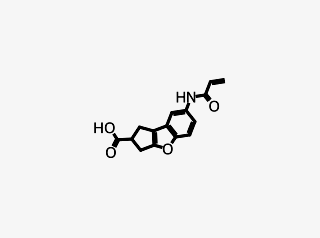 C=CC(=O)Nc1ccc2oc3c(c2c1)CC(C(=O)O)C3